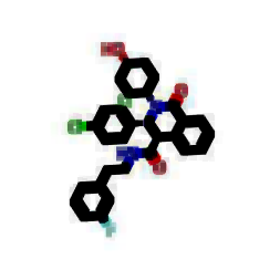 O=C(NCCc1cccc(F)c1)[C@@H]1c2ccccc2C(=O)N([C@H]2CC[C@H](O)CC2)[C@H]1c1ccc(Cl)cc1Cl